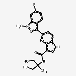 Cn1nc(-c2cnc3[nH]cc(C(=O)NC(C)(CO)CO)c3n2)c2ccc(F)cc21